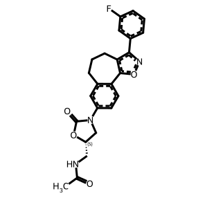 CC(=O)NC[C@H]1CN(c2ccc3c(c2)CCCc2c(-c4cccc(F)c4)noc2-3)C(=O)O1